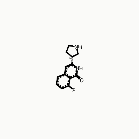 O=c1[nH]c([C@H]2CCNC2)cc2cccc(F)c12